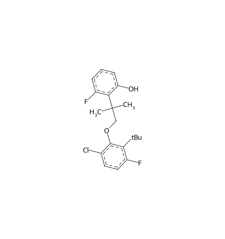 CC(C)(C)c1c(F)ccc(Cl)c1OCC(C)(C)c1c(O)cccc1F